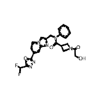 O=C(CO)N1CC(C(=O)N(Cc2cn3ccc(-c4nnc(C(F)F)o4)cc3n2)c2ccccc2)C1